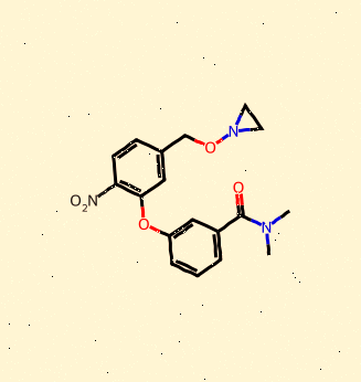 CN(C)C(=O)c1cccc(Oc2cc(CON3CC3)ccc2[N+](=O)[O-])c1